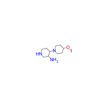 NC1CNCCC1N1CCC(OI)CC1